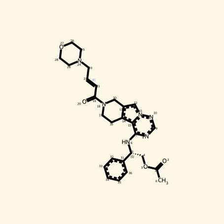 CC(=O)OC[C@@H](Nc1ncnn2cc3c(c12)CCN(C(=O)/C=C/CN1CCOCC1)C3)c1ccccc1